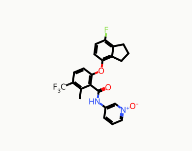 Cc1c(C(F)(F)F)ccc(Oc2ccc(F)c3c2CCC3)c1C(=O)Nc1ccc[n+]([O-])c1